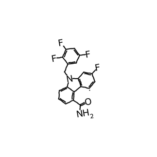 NC(=O)c1cccc2c1c1[c]cc(F)cc1n2Cc1cc(F)cc(F)c1F